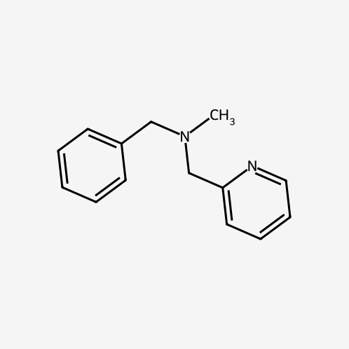 CN(Cc1ccccc1)Cc1ccccn1